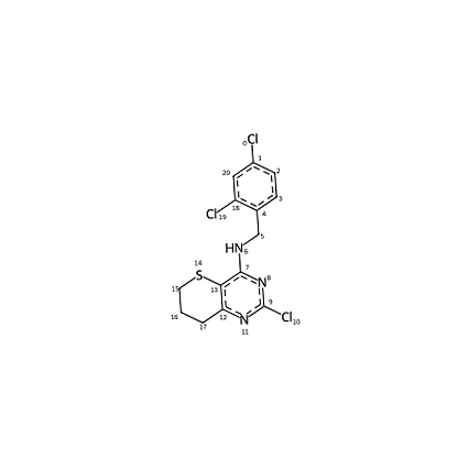 Clc1ccc(CNc2nc(Cl)nc3c2SCCC3)c(Cl)c1